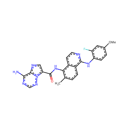 COc1ccc(Nc2nccc3c(NC(=O)c4cnc5c(N)ncnn45)c(C)ccc23)c(F)c1